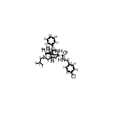 CC(C)CN1C[C@H]2C[C@]3(C(=O)NCc4ccc(Cl)cc4)NC[C@H]2[C@H]1[C@H]3Cc1ccccc1